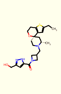 CCc1cc2c(s1)CCO[C@@]21CCN(CC2CN(C(=O)c3cc(CO)n[nH]3)C2)[C@@H](C)C1